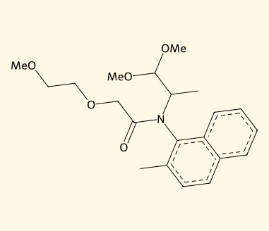 COCCOCC(=O)N(c1c(C)ccc2ccccc12)C(C)C(OC)OC